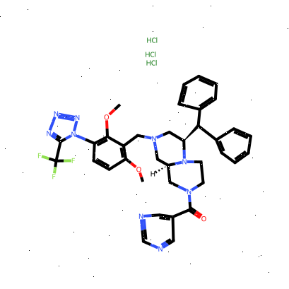 COc1ccc(-n2nnnc2C(F)(F)F)c(OC)c1CN1C[C@@H]2CN(C(=O)c3cncnc3)CCN2[C@H](C(c2ccccc2)c2ccccc2)C1.Cl.Cl.Cl